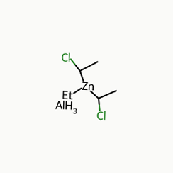 C[CH2][Zn]([CH](C)Cl)[CH](C)Cl.[AlH3]